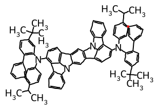 CC(C)c1ccc(N(c2cc(C(C)(C)C)ccc2-c2ccccc2)c2ccc3c4cc5c(cc4n4c6ccccc6c2c34)c2ccc(N(c3ccc(C(C)C)cc3)c3cc(C(C)(C)C)ccc3-c3ccccc3)c3c4ccccc4n5c23)cc1